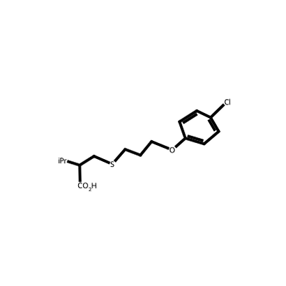 CC(C)C(CSCCCOc1ccc(Cl)cc1)C(=O)O